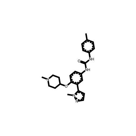 Cc1ccc(NC(=O)Nc2ccc(OC3CCN(C)CC3)c(-c3ccnn3C)c2)cc1